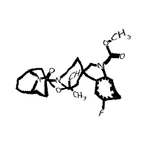 COC(=O)N1CC2(CCN(C3CC4CCC(C3)N4C(=O)OC(C)C)CC2)c2cc(F)ccc21